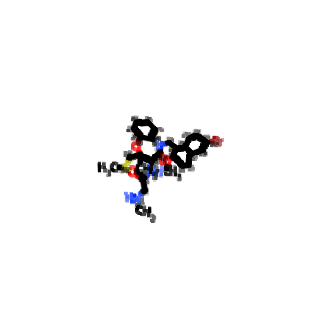 CNCC(=O)N[C@@H]1C(=O)N(Cc2c(OC)ccc3cc(Br)ccc23)c2ccccc2OC1(C)CSC